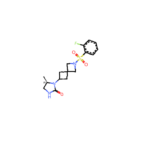 C[C@@H]1CNC(=O)N1C1CC2(C1)CN(S(=O)(=O)c1ccccc1F)C2